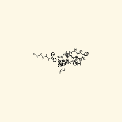 CCCCCCC(=O)OCC(=O)[C@@]1(OC(=O)CC)CC[C@H]2C3=C(C(O)C[C@@]21C)[C@@]1(C)C=CC(=O)C=C1CC3